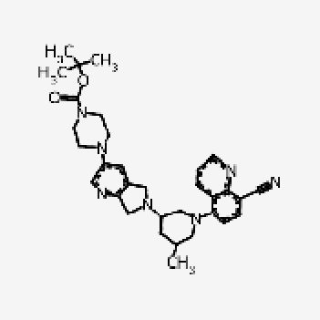 C[C@H]1C[C@@H](N2Cc3cc(N4CCN(C(=O)OC(C)(C)C)CC4)cnc3C2)CN(c2ccc(C#N)c3ncccc23)C1